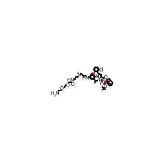 COc1cccc(OC)c1-c1cc(C(=O)NC2(C(=O)OC(C)(C)C)C3CC4CC(C3)CC2C4)nn1-c1ccc(NCCCN(C)CCCNC(=O)COCCOCCN)cc1C(C)C